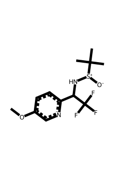 COc1ccc(C(N[S+]([O-])C(C)(C)C)C(F)(F)F)nc1